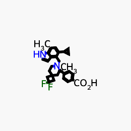 Cc1cc(C2CC2)c(CN2CCC3(CC(F)(F)C3)C[C@@]2(C)c2ccc(C(=O)O)cc2)c2cc[nH]c12